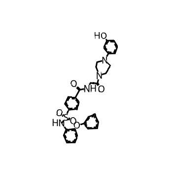 O=C(NCC(=O)N1CCN(c2cccc(O)c2)CC1)c1ccc(S(=O)(=O)Nc2ccccc2Oc2ccccc2)cc1